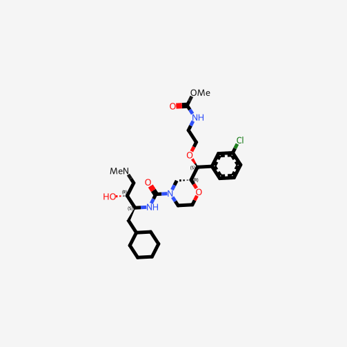 CNC[C@@H](O)[C@H](CC1CCCCC1)NC(=O)N1CCO[C@@H]([C@@H](OCCNC(=O)OC)c2cccc(Cl)c2)C1